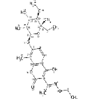 CCON=C(C)c1c(O)c2ccc(O[C@@H]3O[C@@](C)(CC)[C@H](OC)[C@@H](O)[C@H]3O)c(C)c2oc1=O